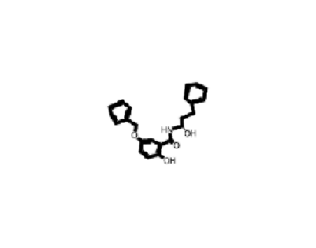 O=C(N[C@@H](O)CCc1ccccc1)c1cc(OCc2ccccc2)ccc1O